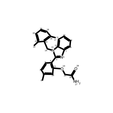 Cc1ccc(-c2nc3ccccc3n2Cc2c(C)cccc2C)c(OCC(N)=O)c1